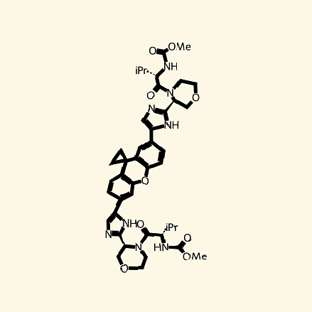 COC(=O)N[C@H](C(=O)N1CCOC[C@H]1c1ncc(-c2ccc3c(c2)Oc2ccc(-c4cnc([C@@H]5COCCN5C(=O)[C@@H](NC(=O)OC)C(C)C)[nH]4)cc2C32CC2)[nH]1)C(C)C